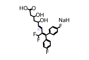 O=C(O)CC(O)CC(O)/C=C/C(=C(c1ccc(F)cc1)c1ccc(F)cc1)C(F)F.[NaH]